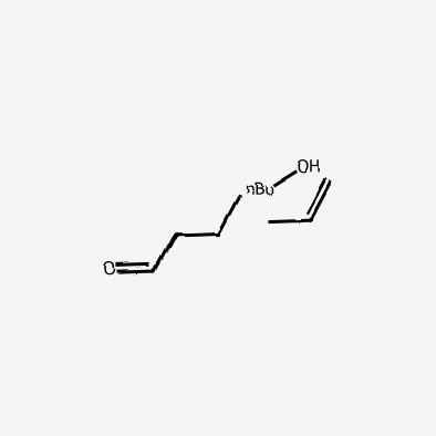 C=CC.CCCC=O.CCCCO